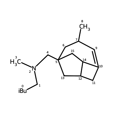 CCC(C)CN(C)CC12CC(C)C=C3CC(C1)C3C2